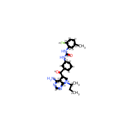 CCC(C)n1cc(C(=O)c2cccc(NC(=O)Nc3cc(C)ccc3F)c2)c2c(N)ncnc21